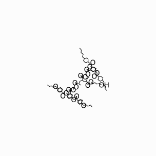 CCCCCC1CCC(C(=O)Oc2ccc(OC(=O)C3CCC(CCCCC)CC3)c(C(=O)OCOC(=O)C(CC(C)C(=O)OCOC(=O)c3cc(OC(=O)c4ccc(OCCCC)cc4)ccc3OC(=O)c3ccc(OCCCC)cc3)CC(CC)C(=O)OCCCCO)c2)CC1